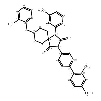 COc1ccnc(N2C(=O)N(c3ccc(-c4ccc(C(=O)O)cc4C)nc3)C(=O)C23CCN(Cc2ncccc2C)CC3)n1